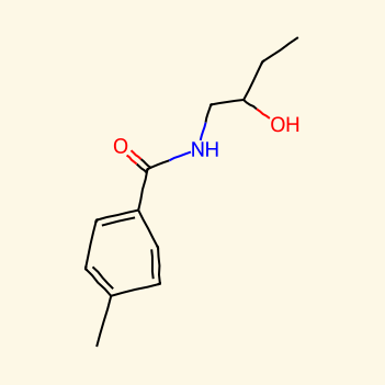 CCC(O)CNC(=O)c1ccc(C)cc1